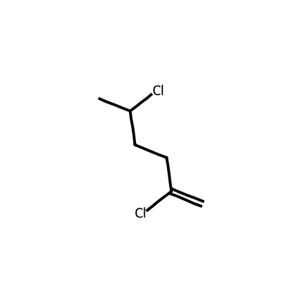 C=C(Cl)CCC(C)Cl